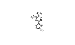 Cc1nc(-c2ncc(C)c(C)n2)cs1